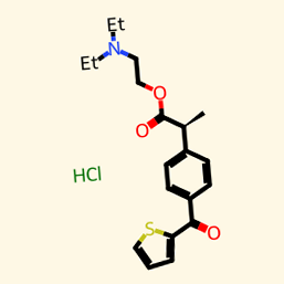 CCN(CC)CCOC(=O)[C@@H](C)c1ccc(C(=O)c2cccs2)cc1.Cl